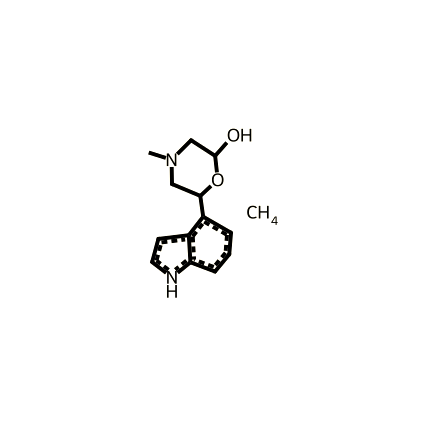 C.CN1CC(O)OC(c2cccc3[nH]ccc23)C1